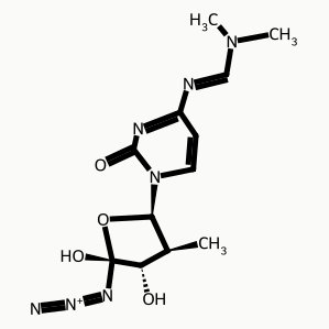 C[C@@H]1[C@H](n2ccc(/N=C/N(C)C)nc2=O)O[C@@](O)(N=[N+]=[N-])[C@H]1O